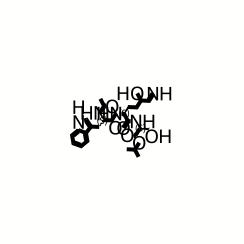 CC(=O)N[C@@H](Cc1c[nH]c2ccccc12)C(=O)N[C@@H](CCC(O)C=N)C(=O)N[C@@H](CO)C(=O)OC(C)C